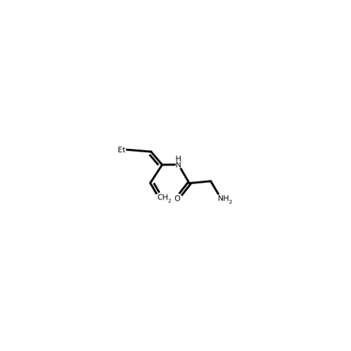 C=C/C(=C\CC)NC(=O)CN